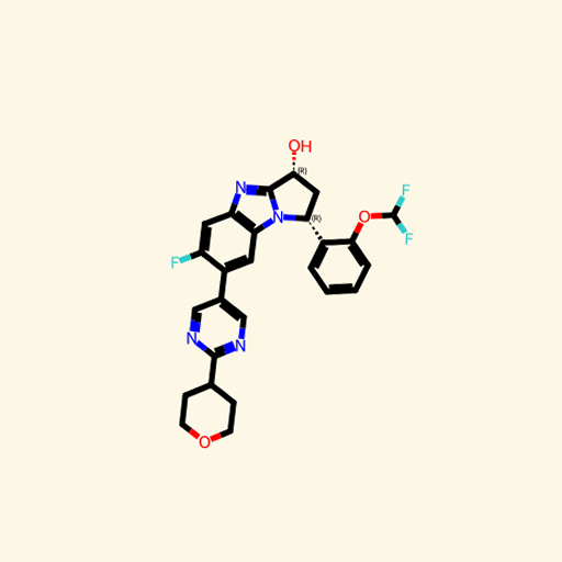 O[C@@H]1C[C@H](c2ccccc2OC(F)F)n2c1nc1cc(F)c(-c3cnc(C4CCOCC4)nc3)cc12